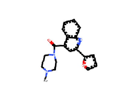 CC(=O)N1CCN(C(=O)c2cc(-c3ccco3)nc3ccccc23)CC1